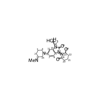 CNC1CCCN(c2ccc3c(c2)n(C)c(=O)n3N2C(=O)CCCC2=O)C1.Cl